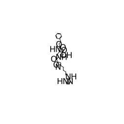 O=C(NC(CNC(=O)[C@H]1CC(CCCCN[C@@H]2N=CCN2)=NO1)C(=O)O)OCc1ccccc1